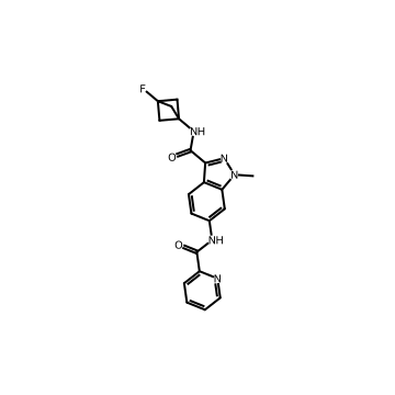 Cn1nc(C(=O)NC23CC(F)(C2)C3)c2ccc(NC(=O)c3ccccn3)cc21